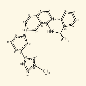 C[C@@H](Nc1ncnc2ccc(-c3cncc(-c4cn(C)nn4)c3)cc12)c1ccccc1